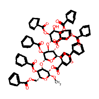 CO[C@H]1O[C@H](COC(=O)c2ccccc2)[C@@H](OC(=O)c2ccccc2)[C@H](O[C@H]2O[C@H](COC(=O)c3ccccc3)[C@@H](OC(=O)c3ccccc3)[C@H](O[C@H]3O[C@H](COC(=O)c4ccccc4)[C@@H](OC(=O)c4ccccc4)[C@H](O)[C@@H]3OC(=O)c3ccccc3)[C@@H]2OC(=O)c2ccccc2)[C@@H]1OC(=O)c1ccccc1